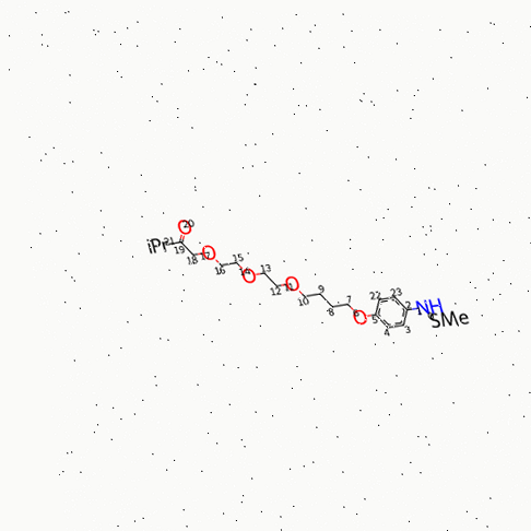 CSNc1ccc(OCCCCOCCOCCOCC(=O)C(C)C)cc1